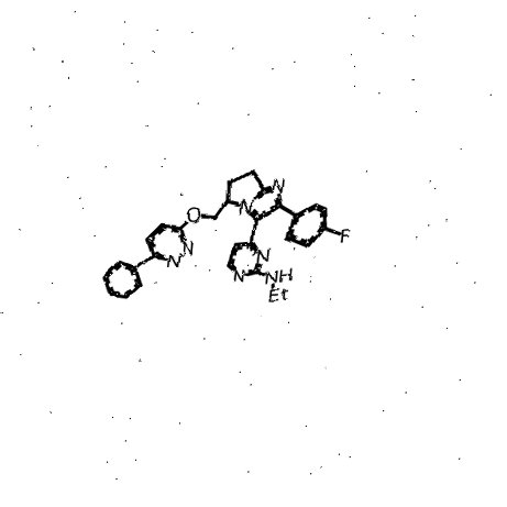 CCNc1nccc(-c2c(-c3ccc(F)cc3)nc3n2C(COc2ccc(-c4ccccc4)nn2)CC3)n1